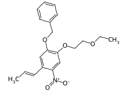 C/C=C/c1cc(OCc2ccccc2)c(OCCOCC)cc1[N+](=O)[O-]